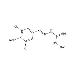 COc1c(Cl)cc(C=NNC(=N)NOC(C)=O)cc1Cl